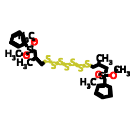 CO[Si](CC(C)CSSSSSSSCC(C)C[Si](OC)(OC)c1ccccc1)(OC)c1ccccc1